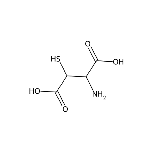 NC(C(=O)O)C(S)C(=O)O